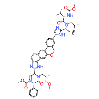 C#C[C@@H](C)CN(C(=O)[C@@H](NC(=O)OC)C(C)C)[C@@H](C)c1ncc(-c2ccc3c(c2)COc2cc4c(ccc5nc([C@H](C)N(C[C@H](C)COC)C(=O)[C@H](NC(=O)OC)c6ccccc6)[nH]c54)cc2-3)[nH]1